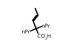 CC=CC(CCC)(CCC)C(=O)O